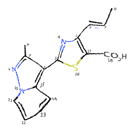 C/C=C/c1nc(-c2c(C)nn3ccccc23)sc1C(=O)O